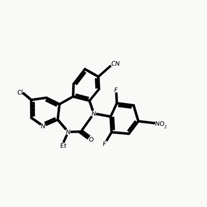 CCN1C(=O)N(c2c(F)cc([N+](=O)[O-])cc2F)c2cc(C#N)ccc2-c2cc(Cl)cnc21